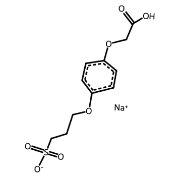 O=C(O)COc1ccc(OCCCS(=O)(=O)[O-])cc1.[Na+]